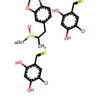 CCCCCCCC[S+]([O-])C(C)Cc1ccc2c(c1)OCO2.Oc1cc(O)c(C=S)cc1Cl.Oc1cc(O)c(C=S)cc1Cl